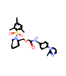 Cc1cc(C)c(S(=O)(=O)N2CCCCC2COCC(=O)Nc2ccc(-n3ccnc3C)cc2)c(C)c1